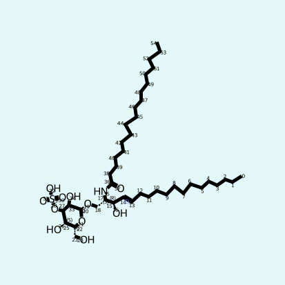 CCCCCCCCCCCCC/C=C/[C@@H](O)[C@H](CO[C@@H]1O[C@H](CO)[C@H](O)C(OS(=O)(=O)O)C1O)NC(=O)CCCCCCCCCCCCCCCCC